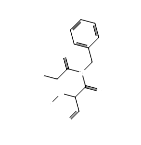 C=CC(OCC)C(=O)N(Cc1ccccc1)C(=O)CCl